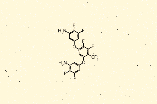 Nc1cc(Oc2cc(Oc3cc(N)c(F)c(F)c3)c(C(F)(F)F)c(F)c2F)cc(F)c1F